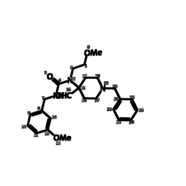 COCCN(C(=O)NCc1cccc(OC)c1)C1(C=O)CCN(Cc2ccccc2)CC1